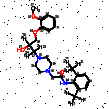 [2H]C([2H])([2H])c1cccc(C([2H])([2H])[2H])c1NC(=O)CN1CCN(C([2H])([2H])C([2H])(O)COc2ccccc2OC)CC1